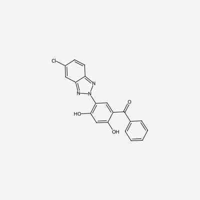 O=C(c1ccccc1)c1cc(-n2nc3ccc(Cl)cc3n2)c(O)cc1O